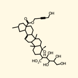 CC1CCC2(C(=O)OCC#CCO)CCC3C(=CCC4C3(C)CCC3C4(C)CCC(C(C(=O)O)C(O)C(O)C(O)CO)[C@@]3(C)O)C2C1